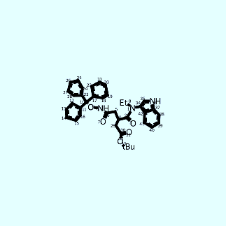 CCN(C(=O)C(CC(=O)NOC(c1ccccc1)(c1ccccc1)c1ccccc1)CC(=O)OC(C)(C)C)c1c[nH]c2ccccc12